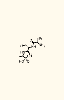 CCC[C@H](N)C(=O)N[C@@H](CCl)C(=O)NC(C)P(=O)(O)O